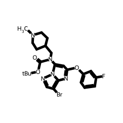 CN1CCC(CN(C(=O)OC(C)(C)C)c2cc(Oc3cccc(F)c3)nc3c(Br)cnn23)CC1